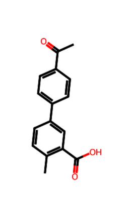 CC(=O)c1ccc(-c2ccc(C)c(C(=O)O)c2)cc1